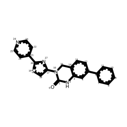 O=C1Nc2cc(-c3ccccc3)ccc2CN1c1csc(-c2ccncc2)n1